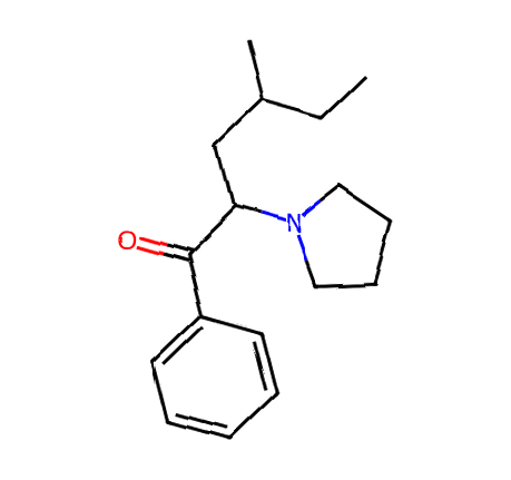 CCC(C)CC(C(=O)c1ccccc1)N1CCCC1